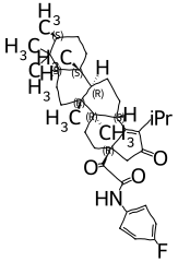 CC(C)C1=C2[C@H]3CC[C@@H]4[C@@]5(C)CC[C@H](C)C(C)(C)[C@@H]5CC[C@@]4(C)[C@]3(C)CC[C@@]2(C(=O)C(=O)Nc2ccc(F)cc2)CC1=O